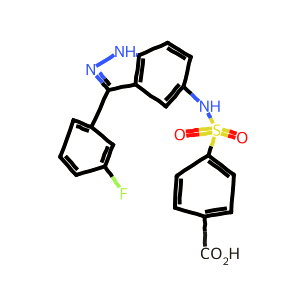 O=C(O)c1ccc(S(=O)(=O)Nc2ccc3[nH]nc(-c4cccc(F)c4)c3c2)cc1